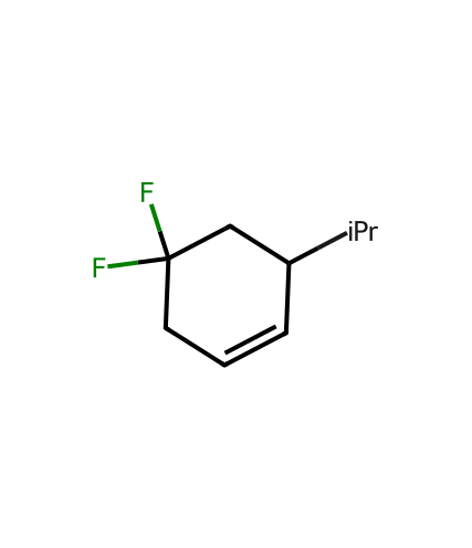 CC(C)C1C=CCC(F)(F)C1